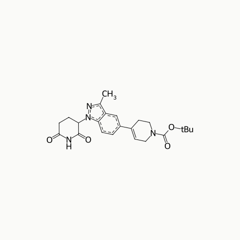 Cc1nn(C2CCC(=O)NC2=O)c2ccc(C3=CCN(C(=O)OC(C)(C)C)CC3)cc12